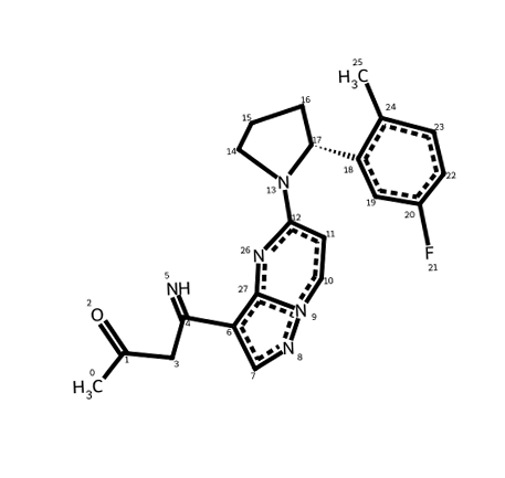 CC(=O)CC(=N)c1cnn2ccc(N3CCC[C@@H]3c3cc(F)ccc3C)nc12